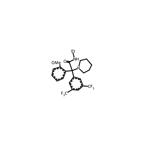 CCNC(=O)C(c1cc(C(F)(F)F)cc(C(F)(F)F)c1)(c1ccccc1OC)N1CCCCC1